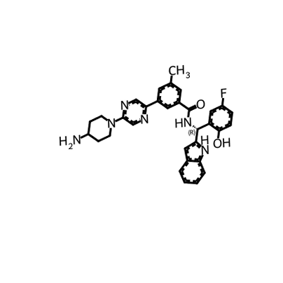 Cc1cc(C(=O)N[C@@H](c2cc3ccccc3[nH]2)c2cc(F)ccc2O)cc(-c2cnc(N3CCC(N)CC3)cn2)c1